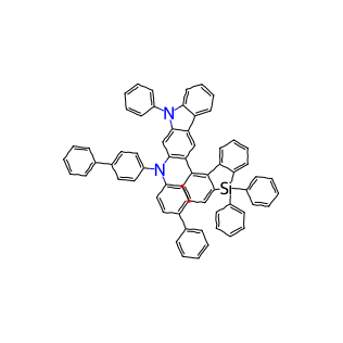 c1ccc(-c2ccc(N(c3ccc(-c4ccccc4)cc3)c3cc4c(cc3-c3cccc5c3-c3ccccc3[Si]5(c3ccccc3)c3ccccc3)c3ccccc3n4-c3ccccc3)cc2)cc1